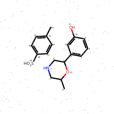 CC1CNCC(c2cccc(O)c2)O1.Cc1ccc(S(=O)(=O)O)cc1